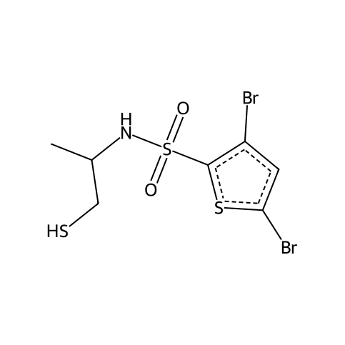 CC(CS)NS(=O)(=O)c1sc(Br)cc1Br